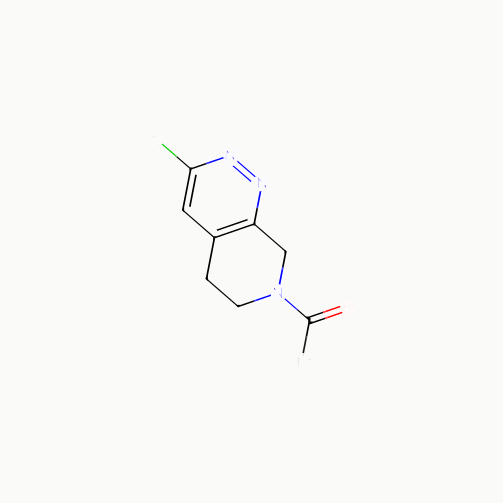 CCC(=O)N1CCc2cc(Cl)nnc2C1